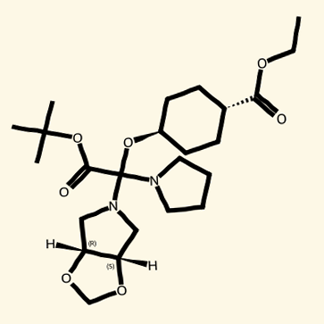 CCOC(=O)[C@H]1CC[C@H](OC(C(=O)OC(C)(C)C)(N2CCCC2)N2C[C@@H]3OCO[C@@H]3C2)CC1